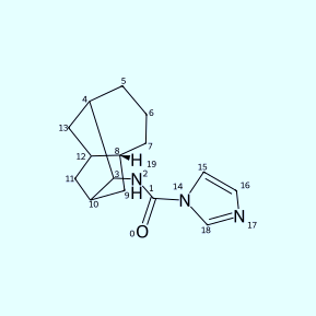 O=C(NC1C2CCC[C@@H]3CC1CC3C2)n1ccnc1